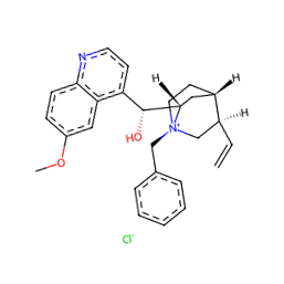 C=C[C@H]1C[N@+]2(Cc3ccccc3)CC[C@H]1C[C@H]2[C@H](O)c1ccnc2ccc(OC)cc12.[Cl-]